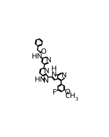 COc1cc(F)cc(-c2cncc3[nH]c(-c4n[nH]c5ccc(-c6cncc(NC(=O)Cc7ccccc7)c6)nc45)cc23)c1